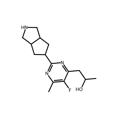 Cc1nc(C2CC3CNCC3C2)nc(CC(C)O)c1F